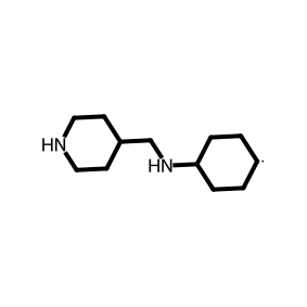 [CH]1CCC(NCC2CCNCC2)CC1